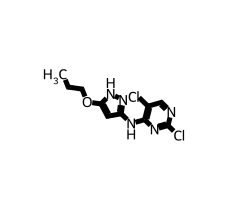 CCCOc1cc(Nc2nc(Cl)ncc2Cl)n[nH]1